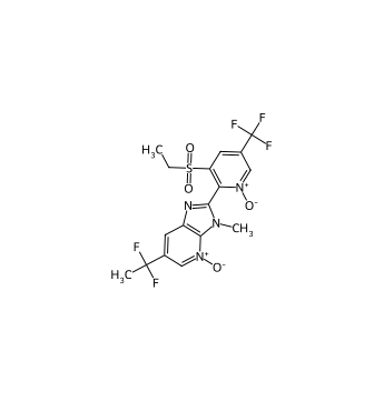 CCS(=O)(=O)c1cc(C(F)(F)F)c[n+]([O-])c1-c1nc2cc(C(C)(F)F)c[n+]([O-])c2n1C